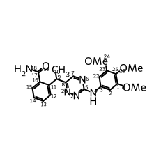 COc1cc(Nc2ncc(C(C)c3ccccc3C(N)=O)nn2)cc(OC)c1OC